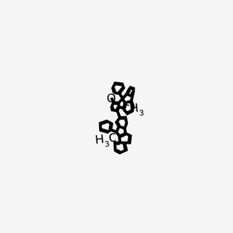 Cc1c(C2=CCC3C(=C2)C(C)(c2ccccc2)c2c3ccc3ccccc23)ccc2c1C1(c3ccccc3O2)c2ccccc2-c2ccccc21